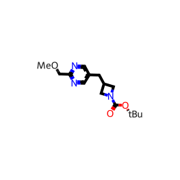 COCc1ncc(CC2CN(C(=O)OC(C)(C)C)C2)cn1